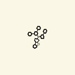 C1=C2c3ccccc3OC2CC(N(c2cccc(-c3ccccc3)c2)c2cc(-c3ccccc3)cc(-c3ccccc3)c2)=C1